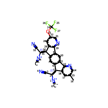 [C-]#[N+]/C(C#N)=C1/c2cc3c(cc2-c2ncc(C)cc21)-c1ncc(OC(F)(F)F)cc1/C3=C(\C#N)[N+]#[C-]